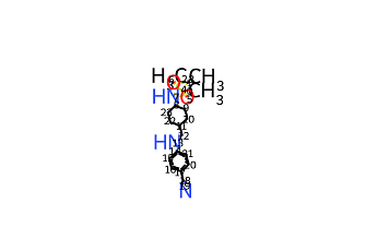 CC(C)(C)S(=O)(=O)NC1CCC(CNc2ccc(C#N)cc2)CC1